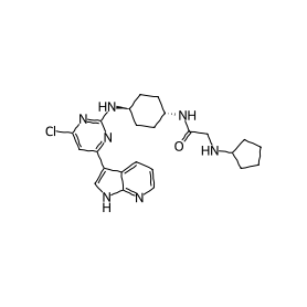 O=C(CNC1CCCC1)N[C@H]1CC[C@H](Nc2nc(Cl)cc(-c3c[nH]c4ncccc34)n2)CC1